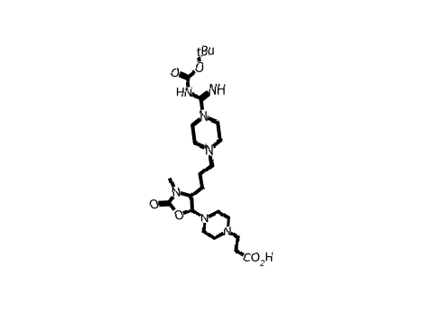 CN1C(=O)OC(N2CCN(CCC(=O)O)CC2)C1CCCN1CCN(C(=N)NC(=O)OC(C)(C)C)CC1